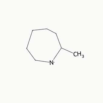 CC1CCCCC[N]1